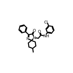 CC1CCC2(CC1)N=C(c1ccccc1)C(=O)N2CC(=O)Nc1cccc(Cl)c1